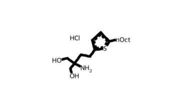 CCCCCCCCc1ccc(CCC(N)(CO)CO)s1.Cl